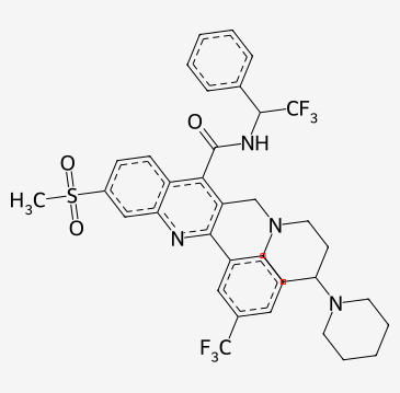 CS(=O)(=O)c1ccc2c(C(=O)NC(c3ccccc3)C(F)(F)F)c(CN3CCC(N4CCCCC4)CC3)c(-c3cccc(C(F)(F)F)c3)nc2c1